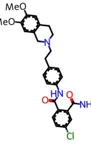 COc1cc2c(cc1OC)CN(CCc1ccc(NC(=O)c3ccc(Cl)cc3C(N)=O)cc1)CC2